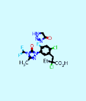 CCC(Cl)(Cc1cc(-n2nc(C)n(C(F)F)c2=O)c(F)cc1Cl)C(=O)O.O=C1CNN=N1